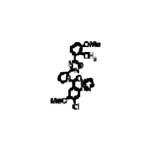 COc1cc(C(=O)N2CCC[C@H]2c2noc(-c3cccc(OC)c3C)n2)c(-n2nccn2)cc1Cl